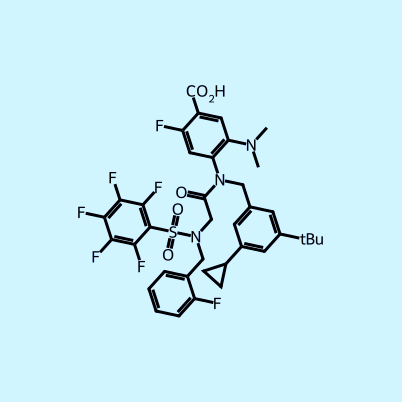 CN(C)c1cc(C(=O)O)c(F)cc1N(Cc1cc(C2CC2)cc(C(C)(C)C)c1)C(=O)CN(Cc1ccccc1F)S(=O)(=O)c1c(F)c(F)c(F)c(F)c1F